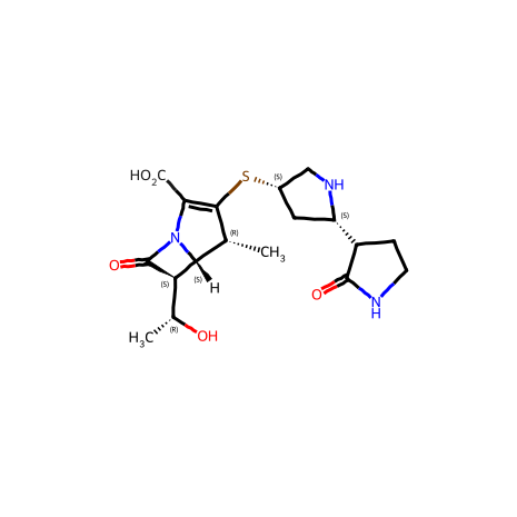 C[C@@H](O)[C@H]1C(=O)N2C(C(=O)O)=C(S[C@@H]3CN[C@H](C4CCNC4=O)C3)[C@H](C)[C@H]12